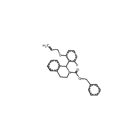 C=CCOc1cccc(F)c1C1c2ccccc2CCN1C(=O)OCc1ccccc1